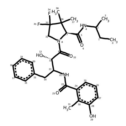 CCC(C)NC(=O)[C@H]1N(C(=O)[C@@H](O)C(Cc2ccccc2)NC(=O)c2cccc(O)c2C)CC(F)(F)C1(C)C